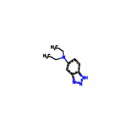 CCN(CC)c1ccc2[nH]nnc2c1